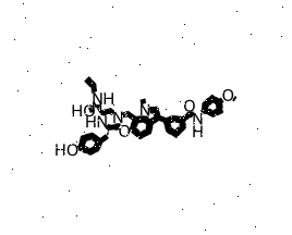 C=CCNN(O)[C@H]1CN(Cc2cccc3c(-c4cccc(C(=O)Nc5ccc(OC)cc5)c4)cn(C)c23)C(=O)[C@H](Cc2ccc(O)cc2)N1